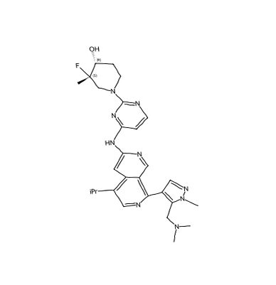 CC(C)c1cnc(-c2cnn(C)c2CN(C)C)c2cnc(Nc3ccnc(N4CC[C@@H](O)[C@@](C)(F)C4)n3)cc12